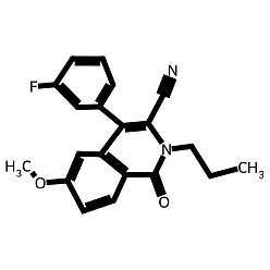 CCCn1c(C#N)c(-c2cccc(F)c2)c2cc(OC)ccc2c1=O